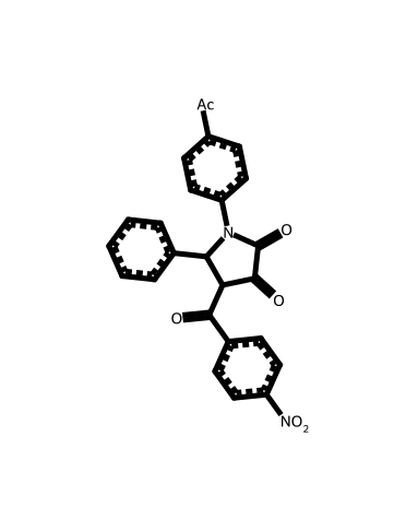 CC(=O)c1ccc(N2C(=O)C(=O)C(C(=O)c3ccc([N+](=O)[O-])cc3)C2c2ccccc2)cc1